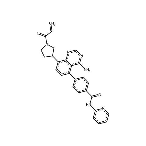 C=CC(=O)N1CCC(c2ccc(-c3ccc(C(=O)Nc4ccccn4)cc3)c3c(N)ncnc23)C1